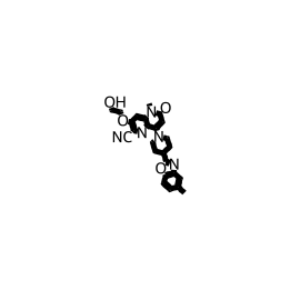 Cc1ccc2oc(C3CCN(c4cc(=O)n(C)c5cc(OCCO)c(C#N)nc45)CC3)nc2c1